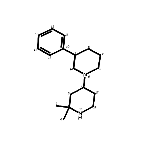 CC1(C)CC(N2CCCC(c3ccccc3)C2)CCN1